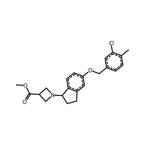 COC(=O)C1CN(C2CCc3cc(OCc4ccc(C)c(Cl)c4)ccc32)C1